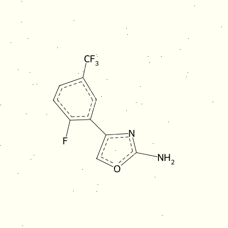 Nc1nc(-c2cc(C(F)(F)F)ccc2F)co1